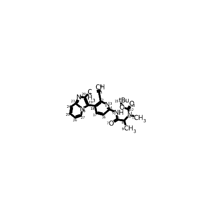 C#Cc1nc(NC(=O)C(C)N(C)C(=O)OC(C)(C)C)ccc1-c1c(C)nc2ccccn12